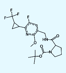 COc1nc(C2CC2C(F)(F)F)c(F)cc1CNC(=O)C1CCCN1C(=O)OC(C)(C)C